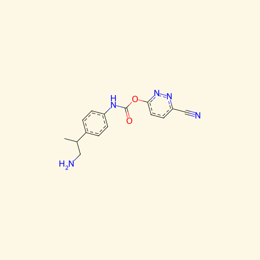 CC(CN)c1ccc(NC(=O)Oc2ccc(C#N)nn2)cc1